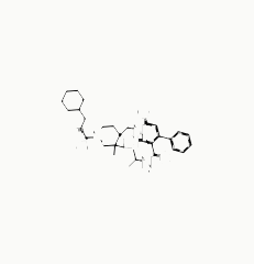 CC(C)N(C)C(=O)c1cn(CC2(O)CCN(C(=O)[C@H](C)CC3CCCCC3)CC2(C)C)c(=O)cc1-c1ccccc1